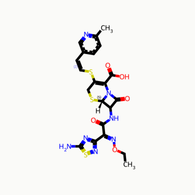 CCON=C(C(=O)NC1C(=O)N2C(C(=O)O)=C(S/C=C\c3ccc(C)nc3)CS[C@@H]12)c1nsc(N)n1